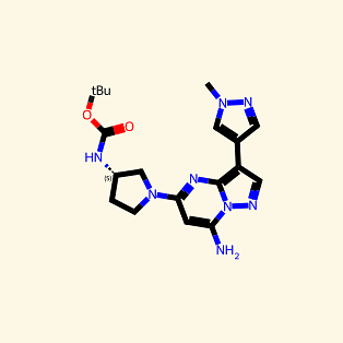 Cn1cc(-c2cnn3c(N)cc(N4CC[C@H](NC(=O)OC(C)(C)C)C4)nc23)cn1